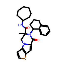 CC1(C(=O)NC2CCCCCC2)Cn2c(cc3sccc32)C(=O)N1C1CCCc2ccccc21